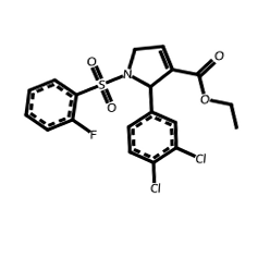 CCOC(=O)C1=CCN(S(=O)(=O)c2ccccc2F)C1c1ccc(Cl)c(Cl)c1